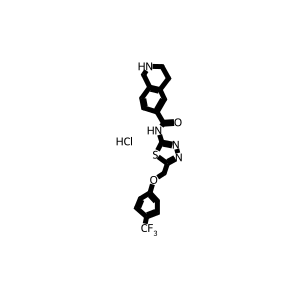 Cl.O=C(Nc1nnc(COc2ccc(C(F)(F)F)cc2)s1)c1ccc2c(c1)CCNC2